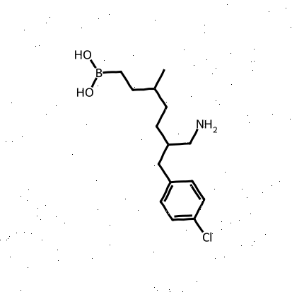 CC(CCB(O)O)CCC(CN)Cc1ccc(Cl)cc1